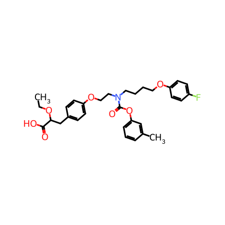 CCOC(Cc1ccc(OCCN(CCCCOc2ccc(F)cc2)C(=O)Oc2cccc(C)c2)cc1)C(=O)O